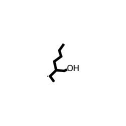 C[CH]C(CO)CCCC